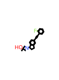 CC1(O)CN(C2CCc3cc(C#Cc4ccccc4F)ccc32)C1